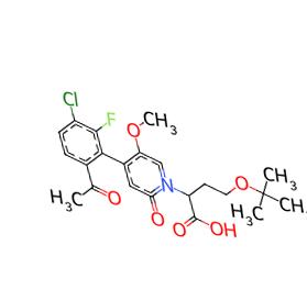 COc1cn(C(CCOC(C)(C)C)C(=O)O)c(=O)cc1-c1c(C(C)=O)ccc(Cl)c1F